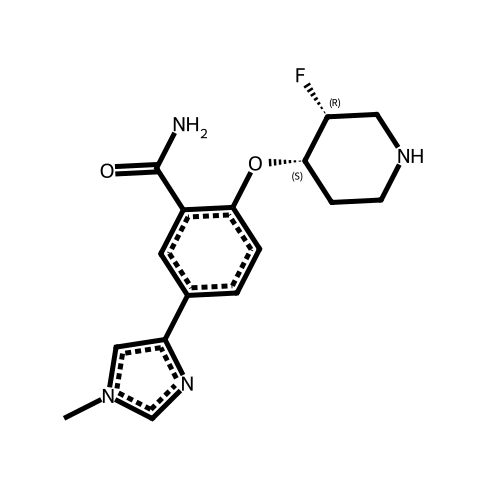 Cn1cnc(-c2ccc(O[C@H]3CCNC[C@H]3F)c(C(N)=O)c2)c1